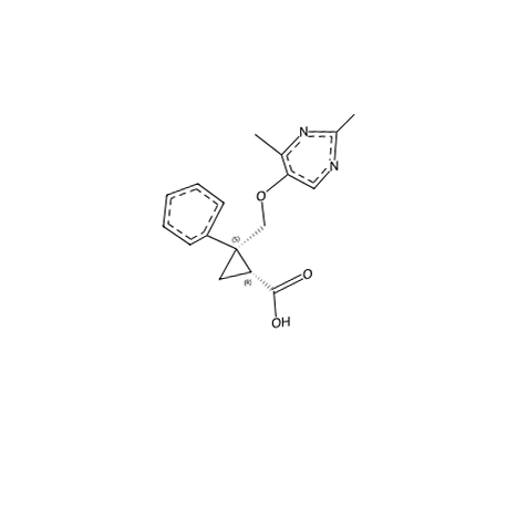 Cc1ncc(OC[C@@]2(c3ccccc3)C[C@H]2C(=O)O)c(C)n1